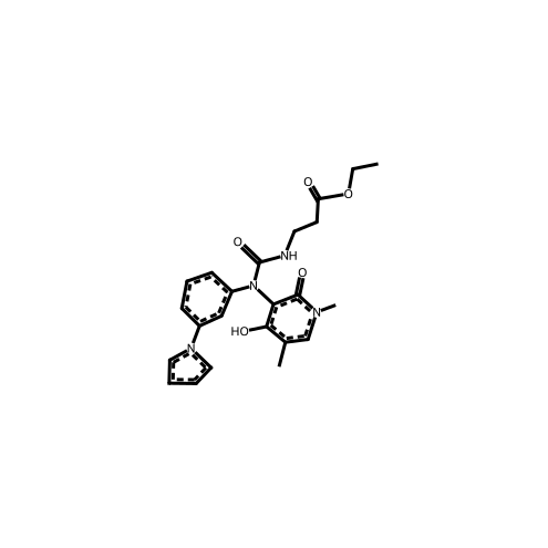 CCOC(=O)CCNC(=O)N(c1cccc(-n2cccc2)c1)c1c(O)c(C)cn(C)c1=O